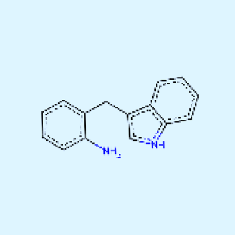 Nc1ccccc1Cc1c[nH]c2ccccc12